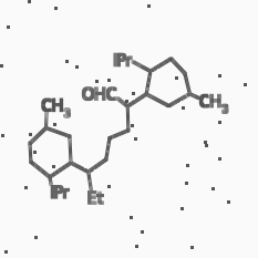 CCC(CCCC(C=O)C1CC(C)CCC1C(C)C)C1CC(C)CCC1C(C)C